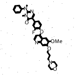 COc1cc2c(Oc3ccc(-c4cnc(N(C)c5ccccc5)n(C)c4=O)cc3F)ccnc2cc1OCCCN1CCOCC1